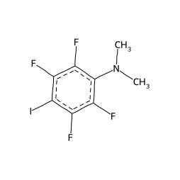 CN(C)c1c(F)c(F)c(I)c(F)c1F